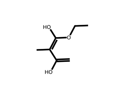 C=C(O)C(C)=C(O)OCC